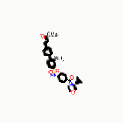 COC(=O)CCc1ccc(-c2ccc(S(=O)(=O)N[C@H]3CC[C@H](C(=O)N4CCOC[C@@H]4C4CC4)CC3)cc2[N+](=O)[O-])cc1